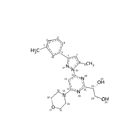 Cc1cccc(-c2cc(C)n(-c3cc(N4CCOCC4)nc([C@H](O)CO)n3)n2)c1